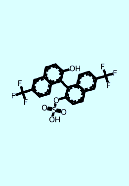 O=S(=O)(O)Oc1ccc2cc(C(F)(F)F)ccc2c1-c1c(O)ccc2cc(C(F)(F)F)ccc12